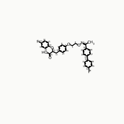 CC(=NOCCOc1ccc(CC(Oc2ccc(F)cc2)C(=O)O)cc1)c1ccc(-c2ccc(F)cc2)cc1